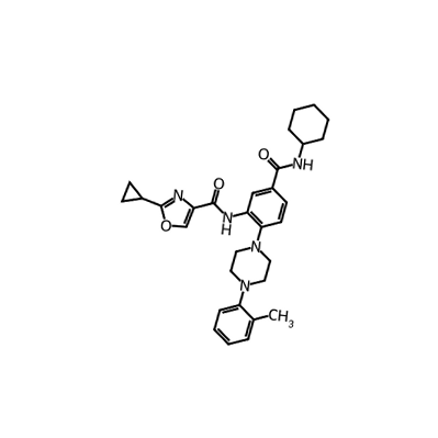 Cc1ccccc1N1CCN(c2ccc(C(=O)NC3CCCCC3)cc2NC(=O)c2coc(C3CC3)n2)CC1